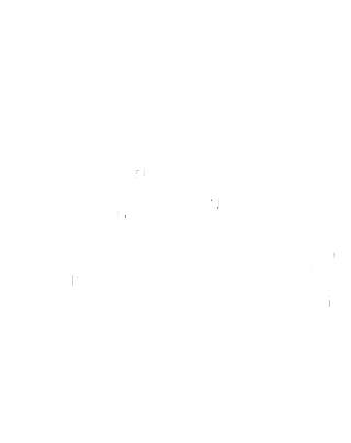 Cc1cc(N2CCC(CCC(=O)O)CC2)c2c(C)cn(-c3ccc(C(C)C)cc3CS)c2n1